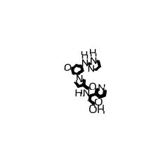 O=C(O)CC(NC(=O)C1CCN(C2=CC(NC3=NCCCN3)=CC(=O)C2)C1)c1cccnc1